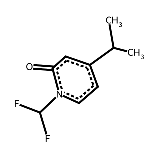 CC(C)c1ccn(C(F)F)c(=O)c1